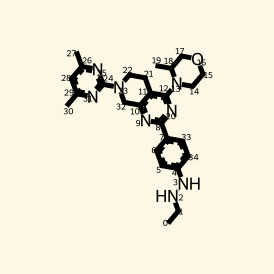 CCNNc1ccc(-c2nc3c(c(N4CCOCC4C)n2)CCN(c2nc(C)cc(C)n2)C3)cc1